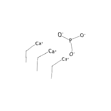 C[CH2][Ca+].C[CH2][Ca+].C[CH2][Ca+].[O-]P([O-])[O-]